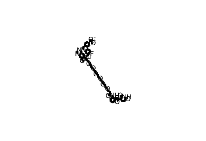 COc1cc2ncnc(N(Cc3ccc([N+](=O)[O-])cc3)c3ccc(F)c(Cl)c3)c2cc1OCCOCCOCCOCCOCCOCCOCCC(=O)Nc1cccc2c1OC(C1CCC(=O)NC1=O)O2